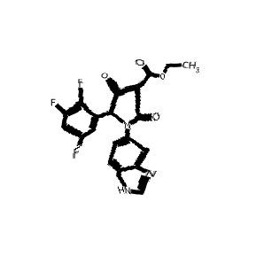 CCOC(=O)C1C(=O)C(c2cc(F)cc(F)c2F)N(c2ccc3[nH]cnc3c2)C1=O